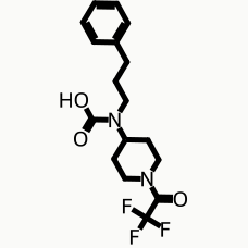 O=C(O)N(CCCc1ccccc1)C1CCN(C(=O)C(F)(F)F)CC1